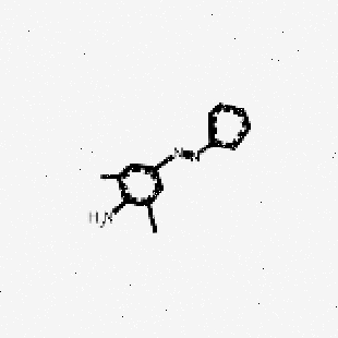 Cc1cc(N=Nc2ccccc2)cc(C)c1N